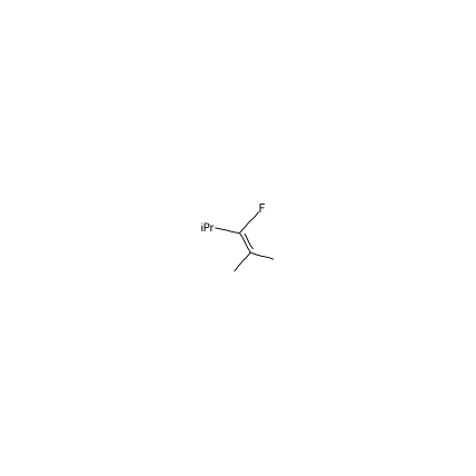 CC(C)=C(F)C(C)C